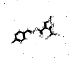 Cc1ccc(/C=N/OC(=O)c2cn(C)nc2C(F)F)cc1